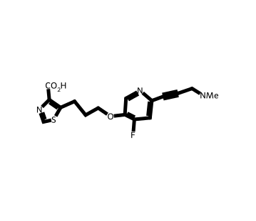 CNCC#Cc1cc(F)c(OCCCc2scnc2C(=O)O)cn1